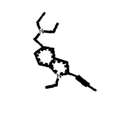 CC#Cc1cc2cc(CN(CC)CC)ccc2n1CC